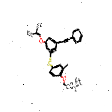 CCOC(=O)COc1ccc(Sc2cc(C#Cc3ccccc3)cc(OCC(CC)CC)c2)cc1C